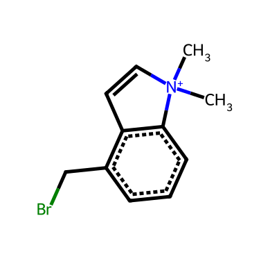 C[N+]1(C)C=Cc2c(CBr)cccc21